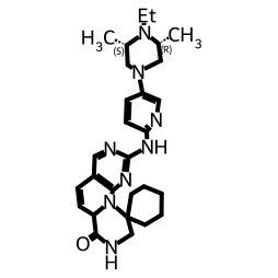 CCN1[C@H](C)CN(c2ccc(Nc3ncc4c(n3)N3C(C=C4)C(=O)NCC34CCCCC4)nc2)C[C@@H]1C